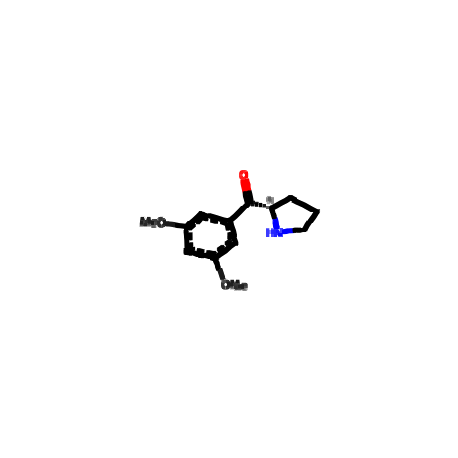 COc1cc(OC)cc(C(=O)[C@@H]2CCCN2)c1